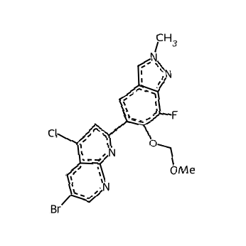 COCOc1c(-c2cc(Cl)c3cc(Br)cnc3n2)cc2cn(C)nc2c1F